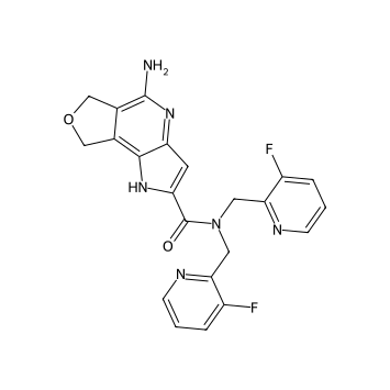 Nc1nc2cc(C(=O)N(Cc3ncccc3F)Cc3ncccc3F)[nH]c2c2c1COC2